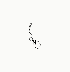 C#CC[CH]ON1CCCC1